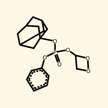 O=P(Oc1ccccc1)(OC1COO1)OC12CC3CC(CC(C3)C1)C2